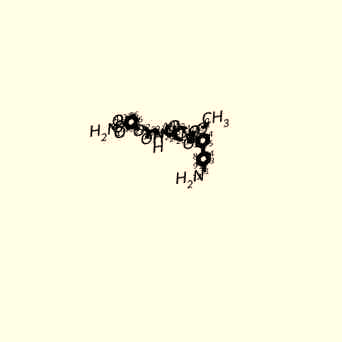 CCOc1ccc(-c2ccc(CN)cc2)cc1S(=O)(=O)N1CCC2(CC1)C[C@@H](NCC(O)COc1cccc(S(N)(=O)=O)c1)CO2